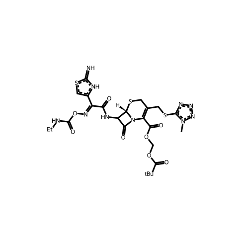 CCNC(=O)ON=C(C(=O)NC1C(=O)N2C(C(=O)OCOC(=O)C(C)(C)C)=C(CSc3nnnn3C)CS[C@@H]12)c1csc(=N)[nH]1